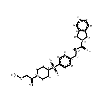 COCC(=O)N1CCC(S(=O)(=O)c2ccc(CNC(=O)N3Cc4ccncc4C3)nc2)CC1